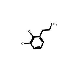 CCCc1cccc(Cl)c1[O]